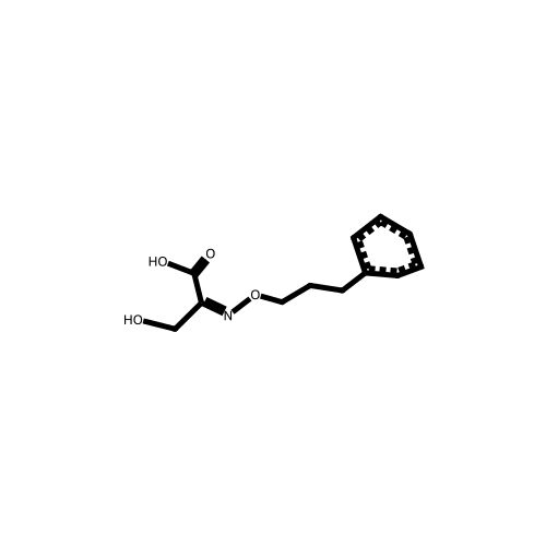 O=C(O)C(CO)=NOCCCc1ccccc1